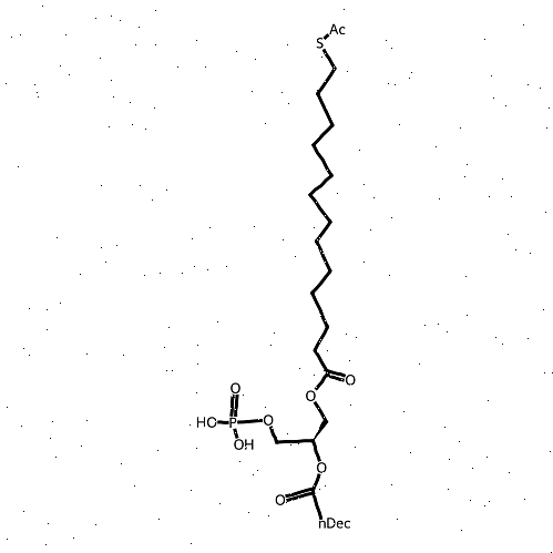 CCCCCCCCCCC(=O)O[C@H](COC(=O)CCCCCCCCCCCCSC(C)=O)COP(=O)(O)O